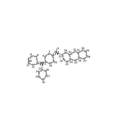 CN(c1ccc(N(c2ccccc2)c2ccccc2)cc1)c1ccc2cc3ccccc3cc2c1